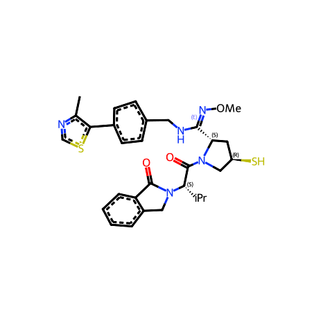 CO/N=C(/NCc1ccc(-c2scnc2C)cc1)[C@@H]1C[C@@H](S)CN1C(=O)[C@H](C(C)C)N1Cc2ccccc2C1=O